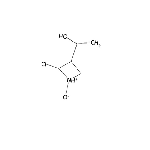 C[C@@H](O)C1C[NH+]([O-])C1Cl